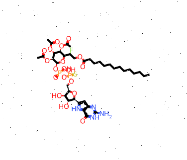 CCCCCCCCCCCCCC(=O)OC[C@H](F)C1O[C@@H](OP(=O)(O)OP(O)(=S)OC[C@H]2O[C@@H](c3cc4nc(N)[nH]c(=O)c4[nH]3)[C@H](O)[C@H]2O)[C@H](OC(C)=O)[C@@H](OC(C)=O)[C@@H]1OC(C)=O